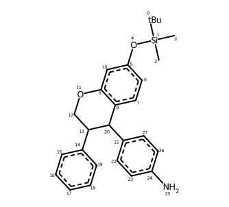 CC(C)(C)[Si](C)(C)Oc1ccc2c(c1)OCC(c1ccccc1)C2c1ccc(N)cc1